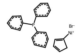 [Br-].[Ni+][C]1=CC=CC1.c1ccc(P(c2ccccc2)c2ccccc2)cc1